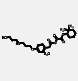 CC1(C)CCCCC1OC(=O)C(=O)OC(=O)Cc1ccc(OCCCNCCCO)cc1.O